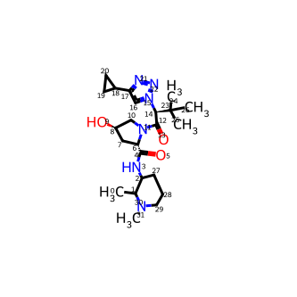 CC1C(NC(=O)[C@@H]2C[C@@H](O)CN2C(=O)[C@@H](n2cc(C3CC3)nn2)C(C)(C)C)CCCN1C